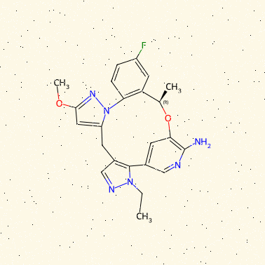 CCn1ncc2c1-c1cnc(N)c(c1)O[C@H](C)c1cc(F)ccc1-n1nc(OC)cc1C2